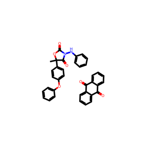 CC1(c2ccc(Oc3ccccc3)cc2)OC(=O)N(Nc2ccccc2)C1=O.O=C1c2ccccc2C(=O)c2ccccc21